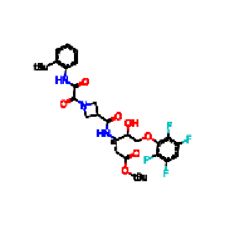 CC(C)(C)OC(=O)C[C@H](NC(=O)C1CN(C(=O)C(=O)Nc2ccccc2C(C)(C)C)C1)C(O)COc1c(F)c(F)cc(F)c1F